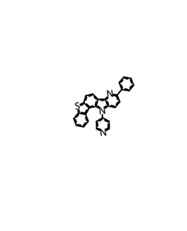 c1ccc(-c2ccc3c(n2)c2ccc4sc5ccccc5c4c2n3-c2ccncc2)cc1